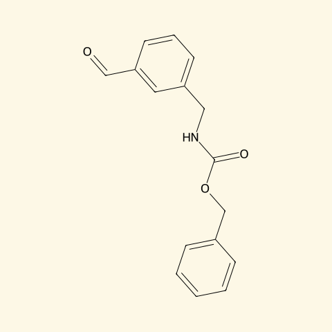 O=Cc1cccc(CNC(=O)OCc2ccccc2)c1